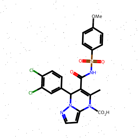 COc1ccc(S(=O)(=O)NC(=O)C2=C(C)N(C(=O)O)c3ccnn3C2c2ccc(Cl)c(Cl)c2)cc1